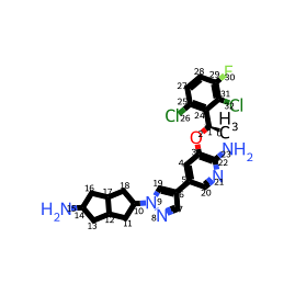 C[C@@H](Oc1cc(-c2cnn(C3CC4CC(N)CC4C3)c2)cnc1N)c1c(Cl)ccc(F)c1Cl